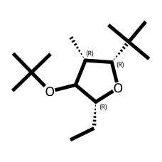 CC[C@H]1O[C@@H](C(C)(C)C)[C@@H](C)C1OC(C)(C)C